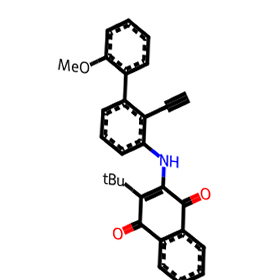 C#Cc1c(NC2=C(C(C)(C)C)C(=O)c3ccccc3C2=O)cccc1-c1ccccc1OC